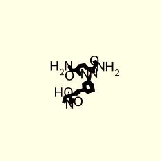 CN1CC[C@@](O)(C#Cc2cccc(-c3nc(C(N)=O)c4ccc(C(N)=O)cn34)c2)C1=O